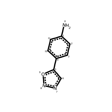 Nc1ccc(-c2cnno2)cc1